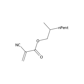 C=C(C#N)C(=O)OCC(C)CCCCC